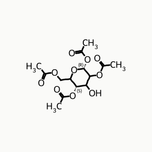 CC(=O)OCC1O[C@H](OC(C)=O)C(OC(C)=O)C(O)[C@@H]1OC(C)=O